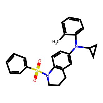 [CH2]c1ccccc1N(c1ccc2c(c1)CCCN2S(=O)(=O)c1ccccc1)C1CC1